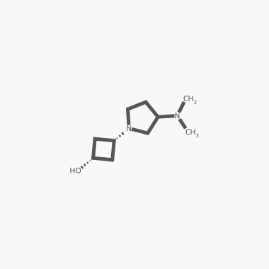 CN(C)C1CCN([C@H]2C[C@@H](O)C2)C1